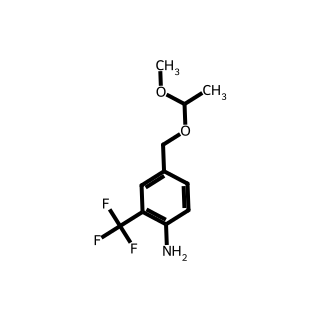 COC(C)OCc1ccc(N)c(C(F)(F)F)c1